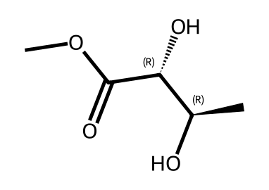 COC(=O)[C@H](O)[C@@H](C)O